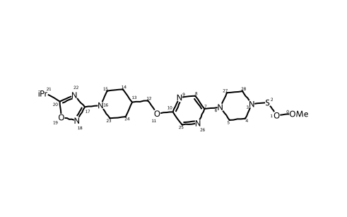 COOSN1CCN(c2cnc(OCC3CCN(c4noc(C(C)C)n4)CC3)cn2)CC1